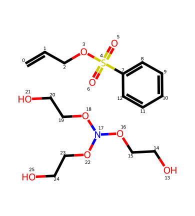 C=CCOS(=O)(=O)c1ccccc1.OCCON(OCCO)OCCO